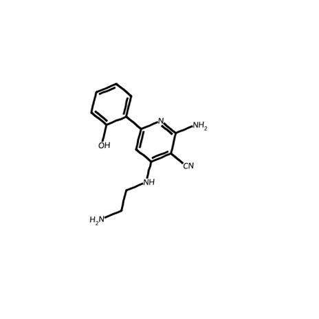 N#Cc1c(NCCN)cc(-c2ccccc2O)nc1N